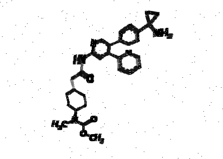 COC(=O)N(C)[C@H]1CC[C@H](CC(=O)Nc2cc(-c3ccccn3)c(-c3ccc(C4(N)CC4)cc3)cn2)CC1